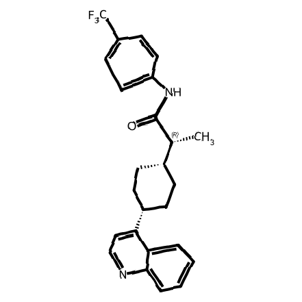 C[C@@H](C(=O)Nc1ccc(C(F)(F)F)cc1)[C@H]1CC[C@@H](c2ccnc3ccccc32)CC1